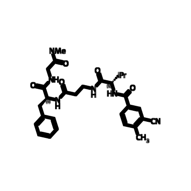 CNC(=O)CNC(=O)[C@H](Cc1ccccc1)NC(=O)CCNC(=O)[C@@H](NC(=O)c1ccc(C)c(C#N)c1)C(C)C